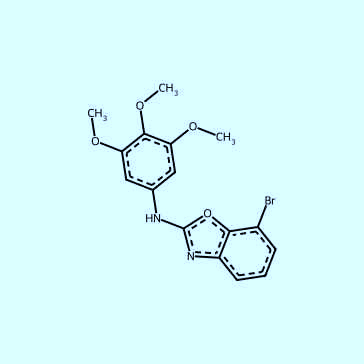 COc1cc(Nc2nc3cccc(Br)c3o2)cc(OC)c1OC